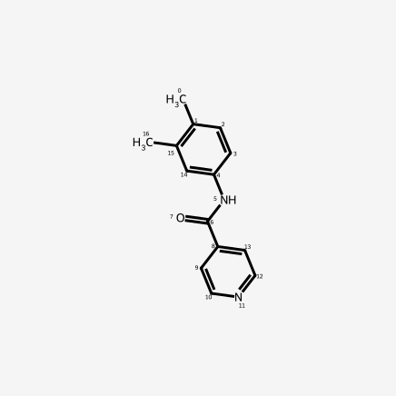 Cc1ccc(NC(=O)c2ccncc2)cc1C